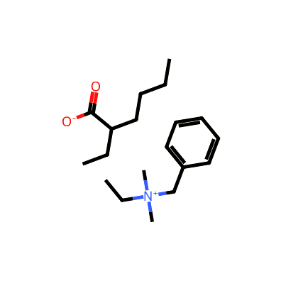 CCCCC(CC)C(=O)[O-].CC[N+](C)(C)Cc1ccccc1